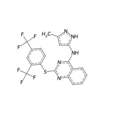 Cc1cc(Nc2nc(Sc3ccc(C(F)(F)F)cc3C(F)(F)F)nc3ccccc23)[nH]n1